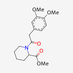 COC(=O)C1CCCCN1C(=O)Cc1ccc(OC)c(OC)c1